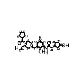 Cc1c(CN2CCN(C(=O)C3CCCC3)[C@@H](C)C2)cc(F)cc1NC(=O)C[C@@H]1CC[C@H](O)C1